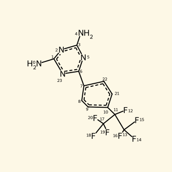 Nc1nc(N)nc(-c2ccc(C(F)(C(F)(F)F)C(F)(F)F)cc2)n1